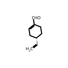 C=C[C@@H]1CC=C(C=O)CC1